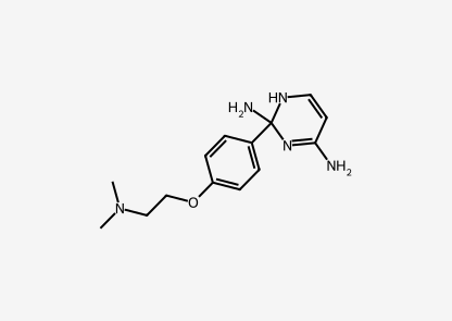 CN(C)CCOc1ccc(C2(N)N=C(N)C=CN2)cc1